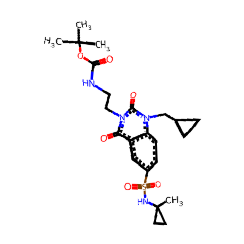 CC1(NS(=O)(=O)c2ccc3c(c2)c(=O)n(CCNC(=O)OC(C)(C)C)c(=O)n3CC2CC2)CC1